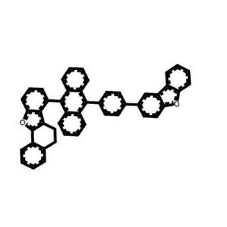 c1ccc2c(c1)CCc1c-2oc2cccc(-c3c4ccccc4c(-c4ccc(-c5ccc6oc7ccccc7c6c5)cc4)c4ccccc34)c12